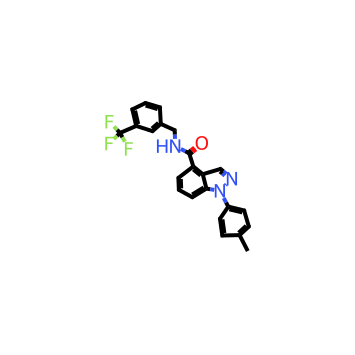 Cc1ccc(-n2ncc3c(C(=O)NCc4cccc(C(F)(F)F)c4)cccc32)cc1